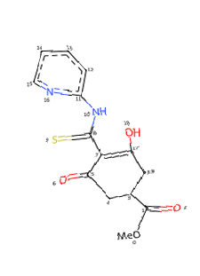 COC(=O)C1CC(=O)C(C(=S)Nc2ccccn2)=C(O)C1